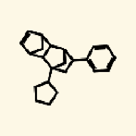 C1=CC2CC1C1C3CC(C4CCCC4)(CC3c3ccccc3)C21